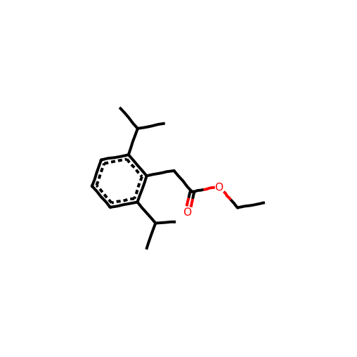 CCOC(=O)Cc1c(C(C)C)cccc1C(C)C